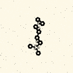 c1ccc(-c2nc(-c3ccccc3)nc(-c3cccc4c3sc3ccc(-c5ccc6sc7c(-n8c9ccccc9c9ccccc98)cccc7c6c5)cc34)n2)cc1